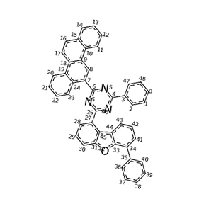 c1ccc(-c2nc(-c3cc4c5ccccc5ccc4c4ccccc34)nc(-c3cccc4oc5c(-c6ccccc6)cccc5c34)n2)cc1